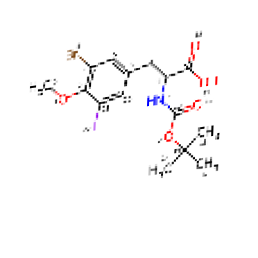 COc1c(Br)cc(CC(NC(=O)OC(C)(C)C)C(=O)O)cc1I